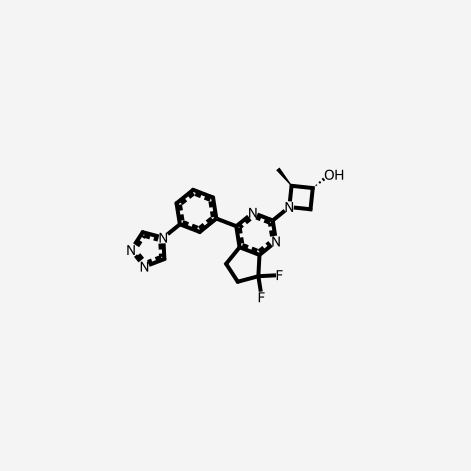 C[C@H]1[C@H](O)CN1c1nc(-c2cccc(-n3cnnc3)c2)c2c(n1)C(F)(F)CC2